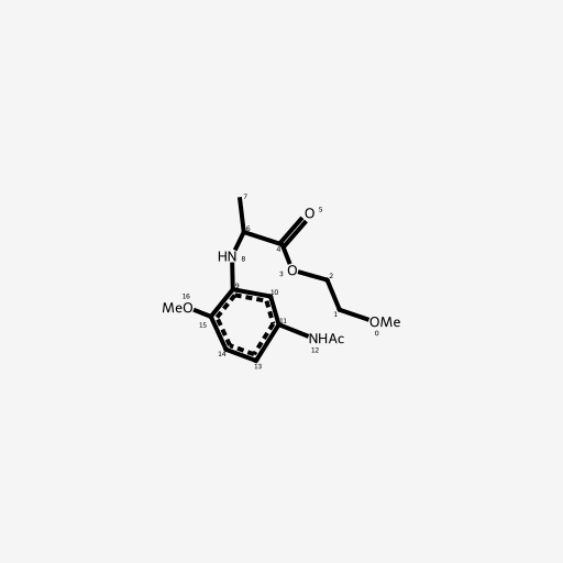 COCCOC(=O)C(C)Nc1cc(NC(C)=O)ccc1OC